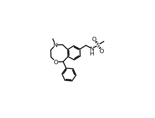 CN1CCOC(c2ccccc2)c2ccc(CNS(C)(=O)=O)cc2C1